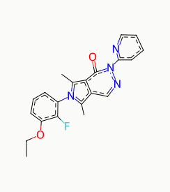 CCOc1cccc(-n2c(C)c3cnn(-c4ccccn4)c(=O)c3c2C)c1F